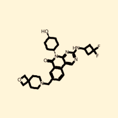 O=c1c2cc(CN3CCC4(CC3)COC4)ccc2c2cnc(NC3CC(F)(F)C3)nc2n1[C@H]1CC[C@H](O)CC1